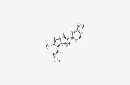 CN=Nc1c(C)nn2nc(-c3cccc(S(=O)(=O)O)c3)[nH]c12